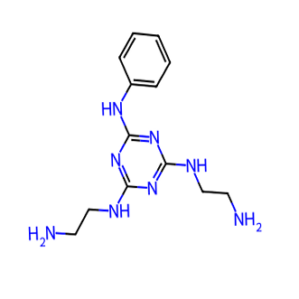 NCCNc1nc(NCCN)nc(Nc2ccccc2)n1